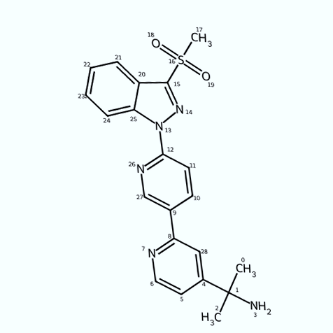 CC(C)(N)c1ccnc(-c2ccc(-n3nc(S(C)(=O)=O)c4cc[c]cc43)nc2)c1